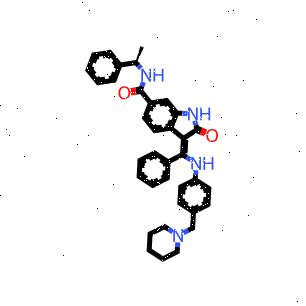 C[C@@H](NC(=O)c1ccc2c(c1)NC(=O)/C2=C(\Nc1ccc(CN2CCCCC2)cc1)c1ccccc1)c1ccccc1